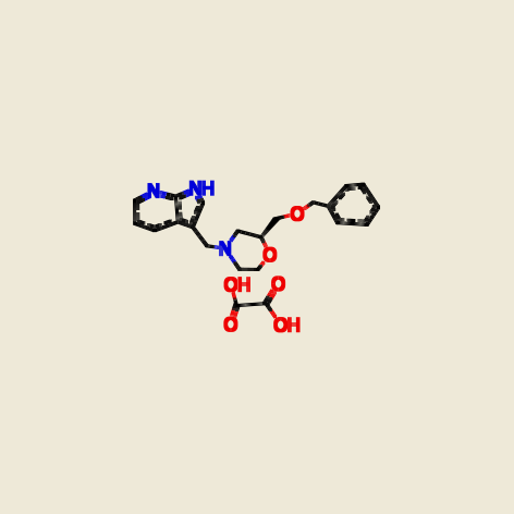 O=C(O)C(=O)O.c1ccc(COC[C@@H]2CN(Cc3c[nH]c4ncccc34)CCO2)cc1